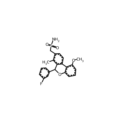 COc1cccc2c1-c1ccc(CS(N)(=O)=O)c(C)c1C(c1cccc(F)c1)O2